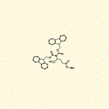 CC(C)(C)OC(=O)CC[C@@H](C(=O)O)N(C(=O)OCC1c2ccccc2-c2ccccc21)C(=O)OCC1c2ccccc2-c2ccccc21